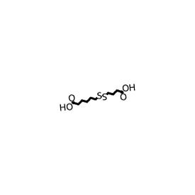 O=C(O)CCCCCSSCCCC(=O)O